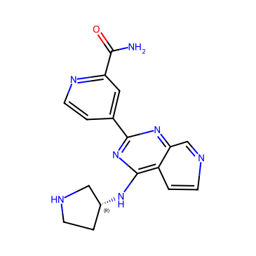 NC(=O)c1cc(-c2nc(N[C@@H]3CCNC3)c3ccncc3n2)ccn1